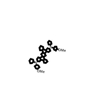 COc1ccc(N(c2ccccc2)c2ccc3c(c2)c2ccccc2c2cc4c5ccc(N(c6ccccc6)c6ccc(OC)cc6)cc5c5ccccc5c4cc32)cc1